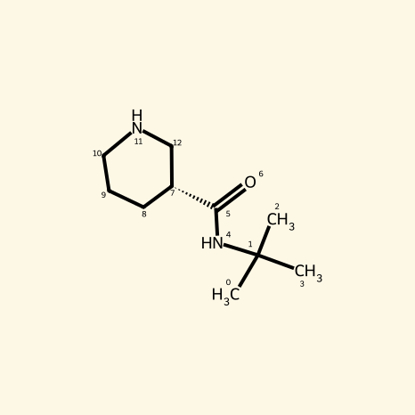 CC(C)(C)NC(=O)[C@@H]1CCCNC1